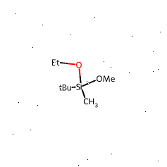 CCO[Si](C)(OC)C(C)(C)C